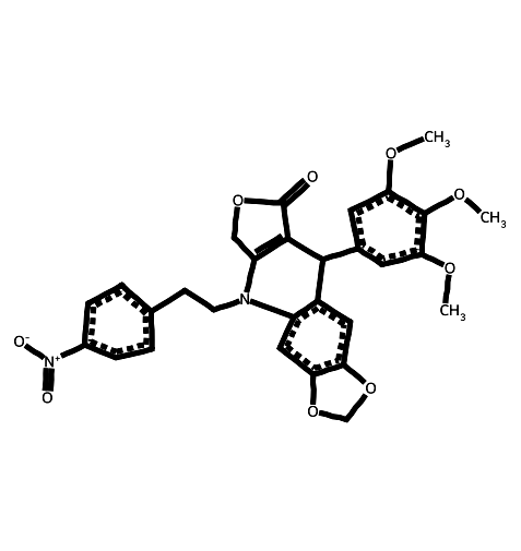 COc1cc(C2C3=C(COC3=O)N(CCc3ccc([N+](=O)[O-])cc3)c3cc4c(cc32)OCO4)cc(OC)c1OC